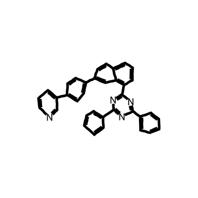 c1ccc(-c2nc(-c3ccccc3)nc(-c3cccc4ccc(-c5ccc(-c6cccnc6)cc5)cc34)n2)cc1